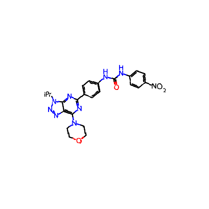 CC(C)n1nnc2c(N3CCOCC3)nc(-c3ccc(NC(=O)Nc4ccc([N+](=O)[O-])cc4)cc3)nc21